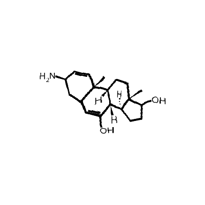 C[C@]12C=CC(N)CC1C=C(O)[C@@H]1[C@H]2CC[C@]2(C)C(O)CC[C@@H]12